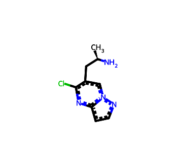 C[C@@H](N)Cc1cn2nccc2nc1Cl